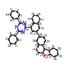 c1ccc(-c2nc(-c3ccccc3)nc(-c3cc(-c4ccc5c(ccc6oc7ccccc7c65)c4)cc4ccccc34)n2)cc1